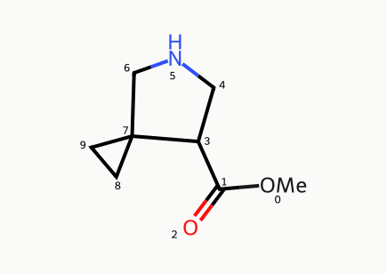 COC(=O)C1CNCC12CC2